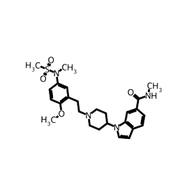 CNC(=O)c1ccc2ccn(C3CCN(CCc4cc(N(C)S(C)(=O)=O)ccc4OC)CC3)c2c1